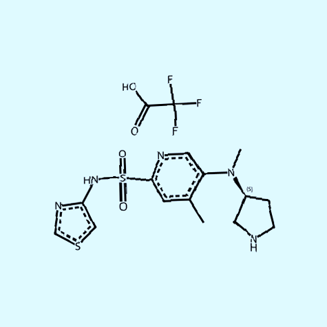 Cc1cc(S(=O)(=O)Nc2cscn2)ncc1N(C)[C@H]1CCNC1.O=C(O)C(F)(F)F